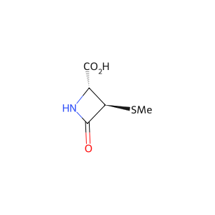 CS[C@H]1C(=O)N[C@@H]1C(=O)O